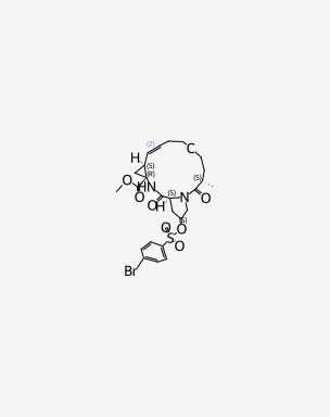 COC(=O)[C@@]12C[C@H]1/C=C\CCCCC[C@H](C)C(=O)N1C[C@@H](OS(=O)(=O)c3ccc(Br)cc3)C[C@H]1C(=O)N2